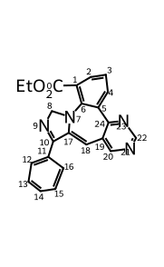 CCOC(=O)c1cccc2c1N1CN=C(c3ccccc3)C1=Cc1cncnc1-2